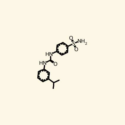 CC(C)c1cccc(NC(=O)Nc2ccc(S(N)(=O)=O)cc2)c1